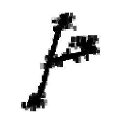 CNC(=O)[C@@H](NC(=O)[C@H](CCC(N)=O)NC(=O)[C@H](Cc1cnc[nH]1)NC(=O)CCNCC(=O)CCNCC(=O)CCNCC(=O)CSC(CC(=O)NCCOCCOCCOCCOCCC(=O)NC[C@H]1OC(OC)[C@@H](NC(C)=O)[C@@H](O)[C@H]1O)C(=O)NCCOCCOCCOCCOCCC(=O)NC[C@H]1OC(OC)[C@@H](NC(C)=O)[C@@H](O)[C@H]1O)C(C)C